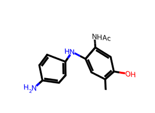 CC(=O)Nc1cc(O)c(C)cc1Nc1ccc(N)cc1